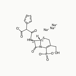 O=C([O-])C(C(=O)N[C@@H]1C(=O)N2C(P(=O)([O-])[O-])=C(CO)CS[C@@H]12)c1ccsc1.[Na+].[Na+].[Na+]